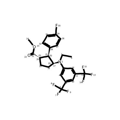 CCN(c1cc(C(F)(F)F)cc(C(F)(F)F)c1)[C@H]1CC[C@H](C(=O)OC)[C@H]1c1ccc(F)cc1